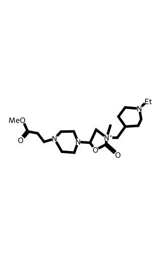 CCN1CCC(C[N+]2(C)CC(N3CCN(CCC(=O)OC)CC3)OC2=O)CC1